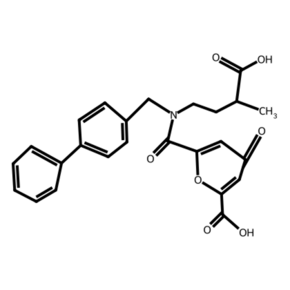 CC(CCN(Cc1ccc(-c2ccccc2)cc1)C(=O)c1cc(=O)cc(C(=O)O)o1)C(=O)O